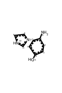 Nc1ccc(O)cc1.c1c[nH]cn1